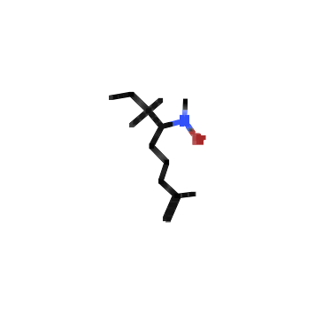 C=C(C)CCCC(N(C)Br)C(C)(C)CC